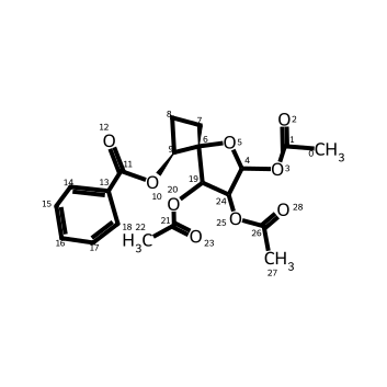 CC(=O)OC1O[C@]2(CC[C@@H]2OC(=O)c2ccccc2)C(OC(C)=O)C1OC(C)=O